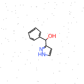 OC(c1ccccc1)c1cc[nH]n1